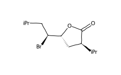 CC(C)C[C@H](Br)[C@H]1C[C@H](C(C)C)C(=O)O1